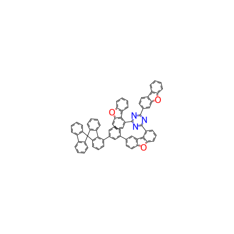 c1cc(-c2ccc3oc4cccc(-c5nc(-c6ccc7c(c6)oc6ccccc67)nc(-c6cccc7oc8ccccc8c67)n5)c4c3c2)cc(-c2cccc3c2-c2ccccc2C32c3ccccc3-c3ccccc32)c1